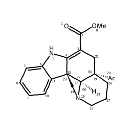 COC(=O)C1=C2Nc3ccccc3[C@]23CCN2CCC[C@](C(C)=O)(C1)[C@@H]23